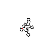 c1ccc(-c2cc(-c3ccccc3)nc(-n3c4ccccc4c4c5oc6ccccc6c5c5oc6ccccc6c5c43)n2)cc1